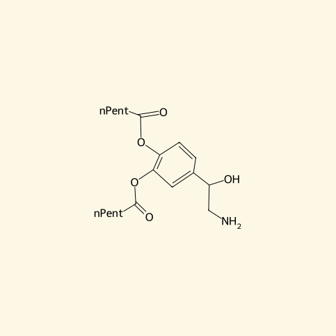 CCCCCC(=O)Oc1ccc(C(O)CN)cc1OC(=O)CCCCC